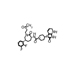 C[S+]([O-])CCN1C[C@H](c2cccc(F)c2F)CC[C@@H](NC(=O)N2CCC(n3c4c([nH]c3=O)NCC=C4)CC2)C1=O